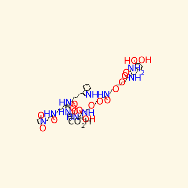 NC(=O)C(Cc1ccc(O)c(O)c1)NC(=O)COCCOCCNC(=O)COCCOCCNC(=O)[C@H](CO)NC(=O)[C@H](CC(=O)O)NC(=O)[C@@H](CCCCNC(=O)CCN1C(=O)C=CC1=O)NC(=O)CCCc1c[nH]c2ccccc12